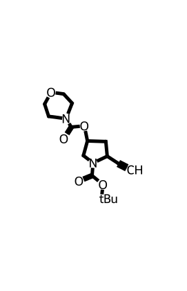 C#CC1CC(OC(=O)N2CCOCC2)CN1C(=O)OC(C)(C)C